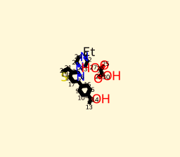 CCN1CCN(c2nc(-c3ccc(C(C)O)cc3)cc3sccc23)CC1.O=C(O)C(=O)O